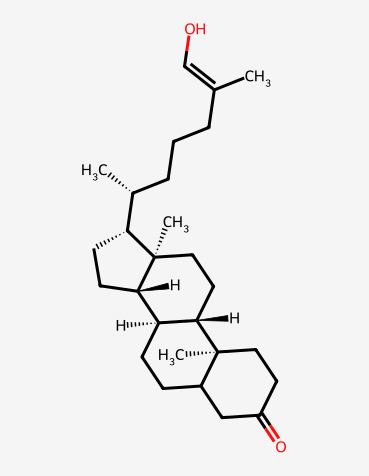 CC(=CO)CCC[C@@H](C)[C@H]1CC[C@H]2[C@@H]3CCC4CC(=O)CC[C@]4(C)[C@H]3CC[C@]12C